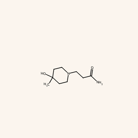 CC1(O)CCN(C[CH]C(N)=O)CC1